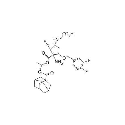 CC(OC(=O)C12CC3CC(CC(C3)C1)C2)OC(=O)C1(N)C(OCc2ccc(F)c(F)c2)CC2(NCC(=O)O)C(F)C21